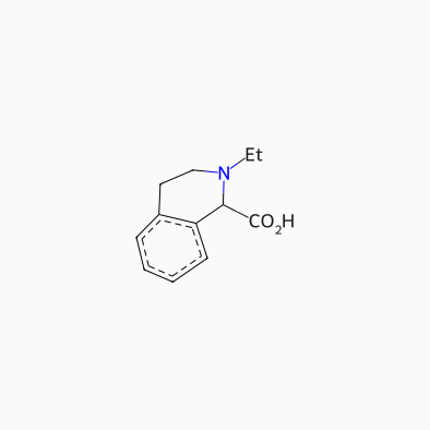 CCN1CCc2ccccc2C1C(=O)O